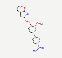 CCOc1cc(-c2ccc(C(=N)N)cc2)ccc1OC[C@@H]1C[C@@H](CC(=O)O)C(=O)N1